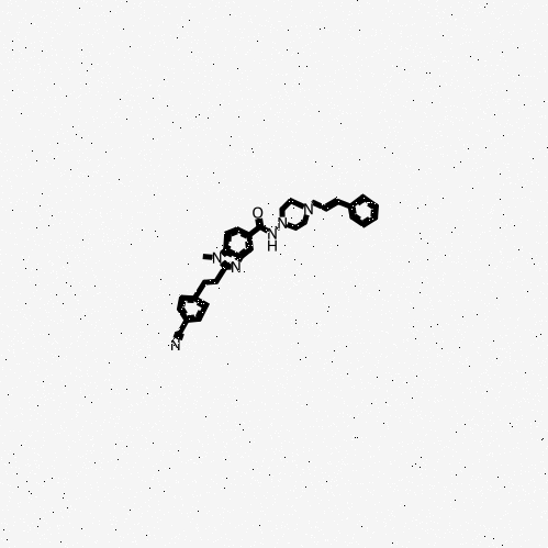 Cn1c(CCc2ccc(C#N)cc2)nc2cc(C(=O)NN3CCN(CC=Cc4ccccc4)CC3)ccc21